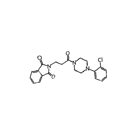 O=C(CCN1C(=O)c2ccccc2C1=O)N1CCN(c2ccccc2Cl)CC1